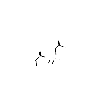 CCC(=O)O.CCC(=O)O.CCCCCCCCCC.CCCCCCCCCC